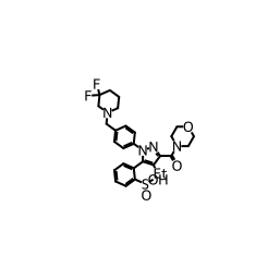 CCc1c(C(=O)N2CCOCC2)nn(-c2ccc(CN3CCCC(F)(F)C3)cc2)c1-c1ccccc1S(=O)O